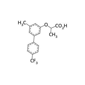 Cc1cc(OC(C)C(=O)O)cc(-c2ccc(C(F)(F)F)cc2)c1